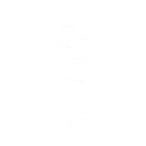 NC(CCCO)Oc1ccc2ccccc2c1